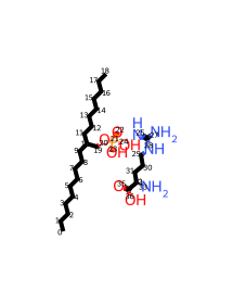 CCCCCCCCCCC(CCCCCCCC)COP(=O)(O)O.N=C(N)NCCC[C@H](N)C(=O)O